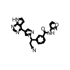 N#CCC(c1cccc(C(=O)Nc2ccon2)c1)n1cc(-c2ncnc3[nH]ccc23)cn1